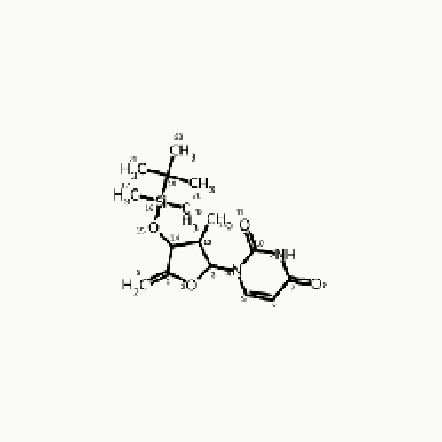 C=C1OC(n2ccc(=O)[nH]c2=O)C(C)C1O[Si](C)(C)C(C)(C)C